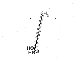 CCCCCC=CCCCCC=CCC=CCCC(O)C(=O)O